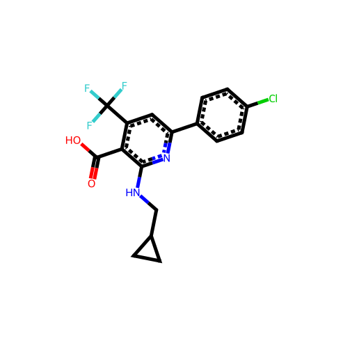 O=C(O)c1c(C(F)(F)F)cc(-c2ccc(Cl)cc2)nc1NCC1CC1